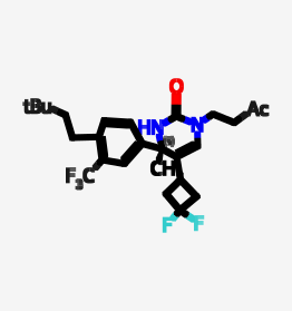 CC(=O)CCN1C=C(C2CC(F)(F)C2)[C@](C)(c2ccc(CCC(C)(C)C)c(C(F)(F)F)c2)NC1=O